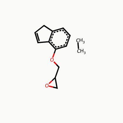 C1=Cc2c(cccc2OCC2CO2)C1.CC